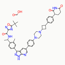 Cc1cc(-c2n[nH]c3ncc(-c4ccc(N5CCN(C6CC(c7ccc(C8CCC(=O)NC8=O)cc7)C6)CC5)cc4)cc23)ccc1C(C)NC(=O)c1noc(C(C)(C)C)n1.O=CO